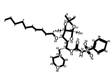 CCCCCCCCCCO[C@@H]1[C@H]2OC(C)(C)O[C@H]2O[C@@H]1[C@@H](CN1CCOCC1)OC(=O)NS(=O)(=O)c1ccccc1